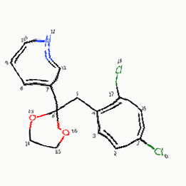 Clc1ccc(CC2(c3cccnc3)OCCO2)c(Cl)c1